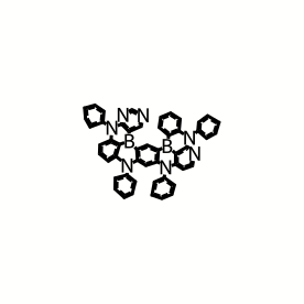 c1ccc(N2c3cc4c(cc3B3c5cncnc5N(c5ccccc5)c5cccc2c53)B2c3ccccc3N(c3ccccc3)c3nccc(c32)N4c2ccccc2)cc1